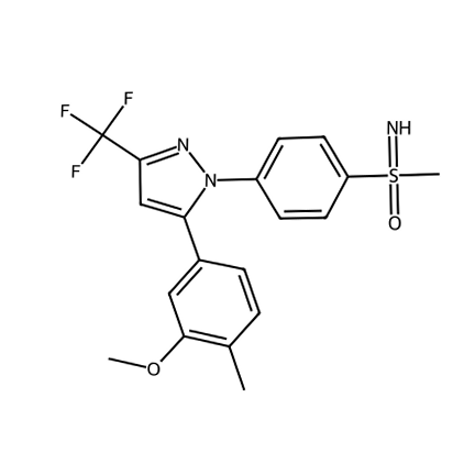 COc1cc(-c2cc(C(F)(F)F)nn2-c2ccc(S(C)(=N)=O)cc2)ccc1C